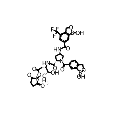 C[C@@H](O)[C@H](CC(=O)ON1C(=O)CCC1=O)NC(=O)[C@@H]1C[C@@H](NC(=O)c2cc3c(c(C(F)(F)F)c2)COB3O)CN1C(=O)c1ccc2c(c1)B(O)OC2